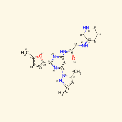 Cc1cc(C)n(-c2cc(NC(=O)CN[C@@H]3CCCNC3)nc(-c3ccc(C)o3)n2)n1